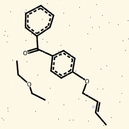 C/C=C/COc1ccc(C(=O)c2ccccc2)cc1.CCOCC